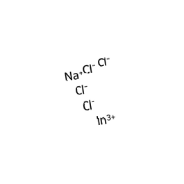 [Cl-].[Cl-].[Cl-].[Cl-].[In+3].[Na+]